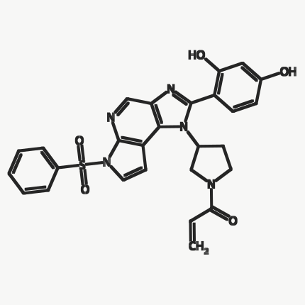 C=CC(=O)N1CCC(n2c(-c3ccc(O)cc3O)nc3cnc4c(ccn4S(=O)(=O)c4ccccc4)c32)C1